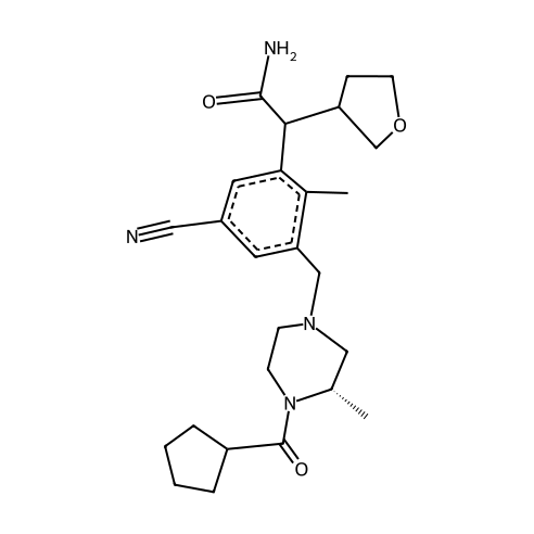 Cc1c(CN2CCN(C(=O)C3CCCC3)[C@@H](C)C2)cc(C#N)cc1C(C(N)=O)C1CCOC1